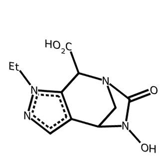 CCn1ncc2c1C(C(=O)O)N1CC2N(O)C1=O